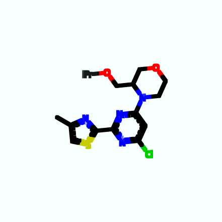 Cc1csc(-c2nc(Cl)cc(N3CCOCC3COC(C)C)n2)n1